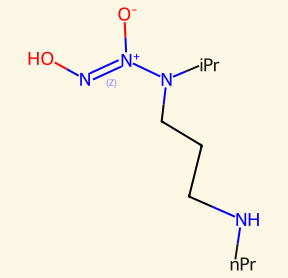 CCCNCCCN(C(C)C)/[N+]([O-])=N/O